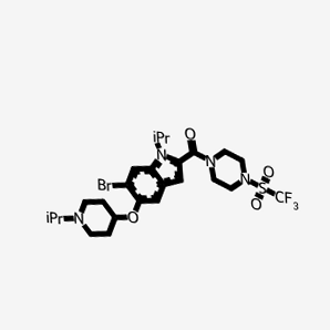 CC(C)N1CCC(Oc2cc3cc(C(=O)N4CCN(S(=O)(=O)C(F)(F)F)CC4)n(C(C)C)c3cc2Br)CC1